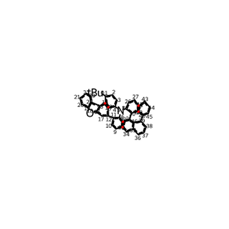 CC(C)(C)c1ccc(N(c2ccccc2-c2ccc3c(c2)oc2ccccc23)c2ccccc2-c2cccc3cccc(-c4ccccc4)c23)cc1